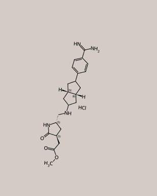 COC(=O)C[C@@H]1C[C@@H](CNC2C[C@@H]3CC(c4ccc(C(=N)N)cc4)C[C@@H]3C2)NC1=O.Cl